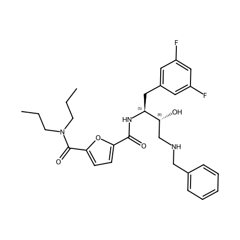 CCCN(CCC)C(=O)c1ccc(C(=O)N[C@@H](Cc2cc(F)cc(F)c2)[C@H](O)CNCc2ccccc2)o1